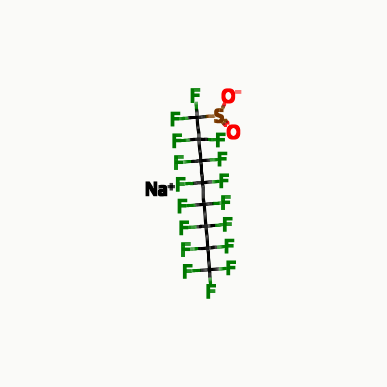 O=S([O-])C(F)(F)C(F)(F)C(F)(F)C(F)(F)C(F)(F)C(F)(F)C(F)(F)C(F)(F)F.[Na+]